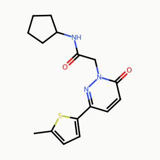 Cc1ccc(-c2ccc(=O)n(CC(=O)NC3CCCC3)n2)s1